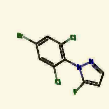 Fc1ccnn1-c1c(Cl)cc(Br)cc1Cl